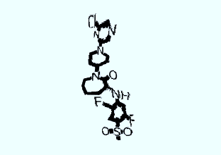 CS(=O)(=O)c1cc(F)c(N[C@H]2CCCCN(C3CCN(c4cncc(Cl)n4)CC3)C2=O)cc1F